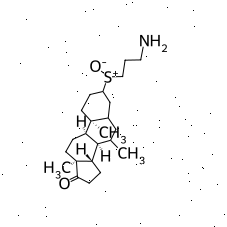 CC1CC2CC([S+]([O-])CCCN)CC[C@]2(C)[C@@H]2CC[C@]3(C)C(=O)CC[C@H]3[C@H]12